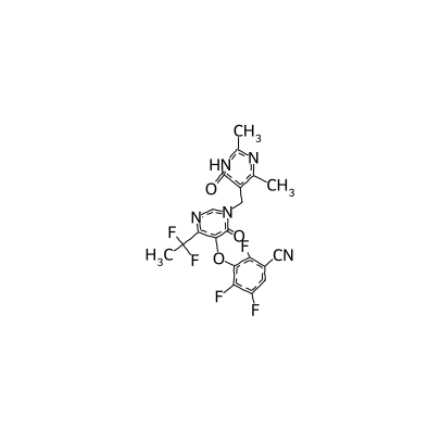 Cc1nc(C)c(Cn2cnc(C(C)(F)F)c(Oc3c(F)c(F)cc(C#N)c3F)c2=O)c(=O)[nH]1